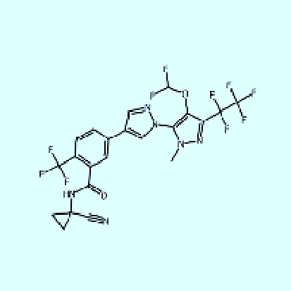 Cn1nc(C(F)(F)C(F)(F)F)c(OC(F)F)c1-n1cc(-c2ccc(C(F)(F)F)c(C(=O)NC3(C#N)CC3)c2)cn1